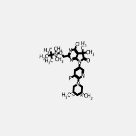 C[C@@H]1C[C@H](C)CN(c2ncc(N3C(=O)C(C)(C)c4c(Cl)nc(CO[Si](C)(C)C(C)(C)C)nc43)cc2F)C1